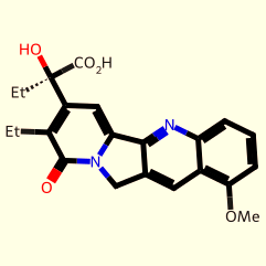 CCc1c([C@](O)(CC)C(=O)O)cc2n(c1=O)Cc1cc3c(OC)cccc3nc1-2